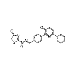 O=C1CSC(NN=Cc2ccc(-n3nc(-c4ccccc4)ccc3=O)cc2)=N1